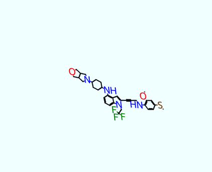 COc1cc(SC)ccc1NCC#Cc1cc2c(NC3CCC(N4CC5COCC5C4)CC3)cccc2n1CC(F)(F)F